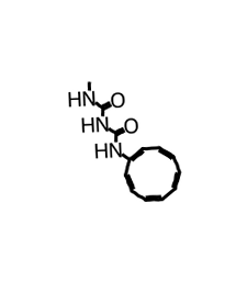 CNC(=O)NC(=O)Nc1ccccccccc1